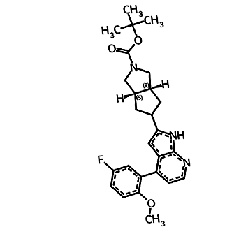 COc1ccc(F)cc1-c1ccnc2[nH]c(C3C[C@@H]4CN(C(=O)OC(C)(C)C)C[C@@H]4C3)cc12